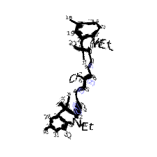 CCN1/C(=C/C=C/C(Cl)=C/C=C/C2=[N+](CC)c3ccc(C)cc3C2(C)C)C(C)(C)c2cc(C)ccc21